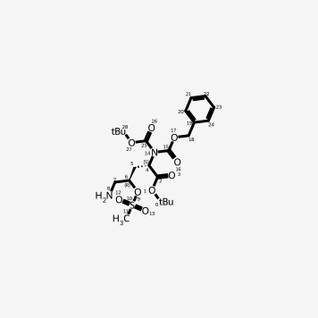 CC(C)(C)OC(=O)[C@H](C[C@H](CN)OS(C)(=O)=O)N(C(=O)OCc1ccccc1)C(=O)OC(C)(C)C